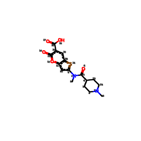 CN1CCC(C(=O)N(C)c2cc3oc(=O)c(C(=O)O)cc3s2)CC1